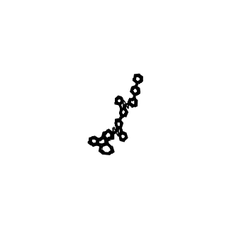 C1=CCc2c(c3ccccc3c3ccc(-n4c5ccccc5c5cc(-c6ccc7c(c6)c6ccccc6n7-c6cccc(-c7ccc(-c8ccccc8)cc7)c6)ccc54)cc23)C=C1